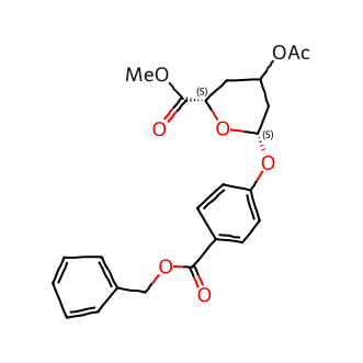 COC(=O)[C@@H]1CC(OC(C)=O)C[C@H](Oc2ccc(C(=O)OCc3ccccc3)cc2)O1